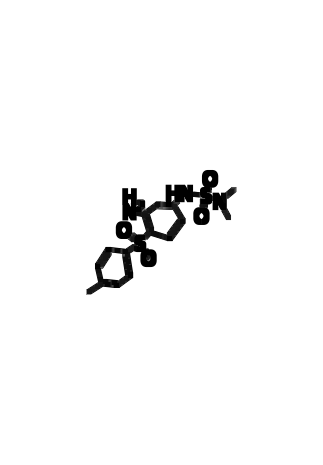 Cc1ccc(S(=O)(=O)c2ccc(NS(=O)(=O)N(C)C)cc2N)cc1